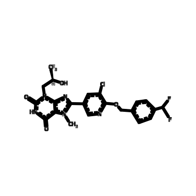 Cn1c(-c2cnc(OCc3ccc(C(F)F)cc3)c(Cl)c2)nc2c1c(=O)[nH]c(=O)n2C[C@H](O)C(F)(F)F